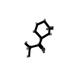 CN(C)C(=O)C1[CH]CCNC1